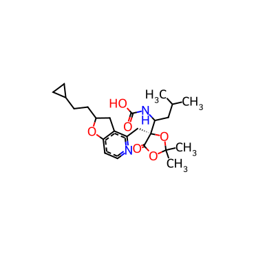 CC(C)CC(NC(=O)O)[C@@]1(Cc2nccc3c2CC(CCC2CC2)O3)OC(C)(C)OC1=O